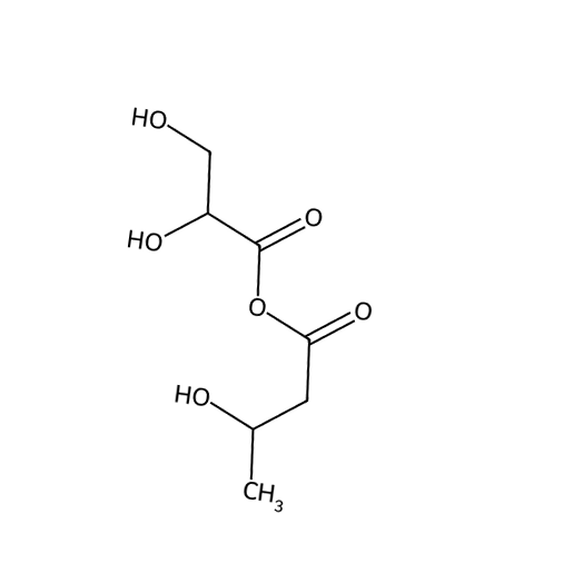 CC(O)CC(=O)OC(=O)C(O)CO